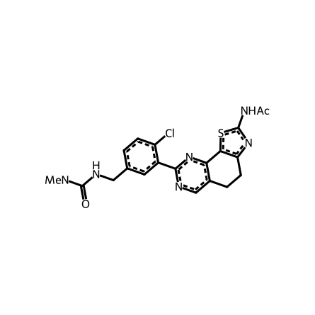 CNC(=O)NCc1ccc(Cl)c(-c2ncc3c(n2)-c2sc(NC(C)=O)nc2CC3)c1